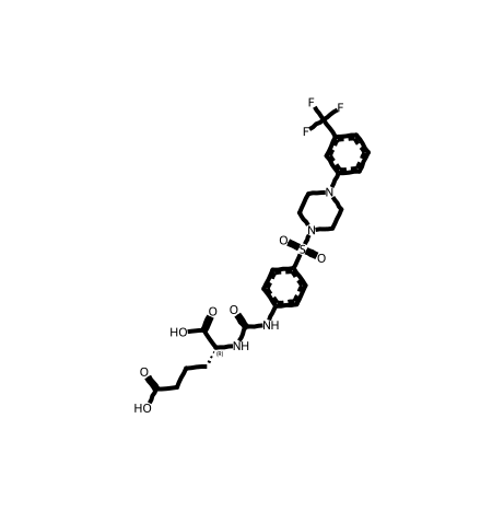 O=C(O)CCC[C@@H](NC(=O)Nc1ccc(S(=O)(=O)N2CCN(c3cccc(C(F)(F)F)c3)CC2)cc1)C(=O)O